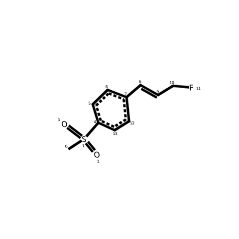 CS(=O)(=O)c1ccc(C=CCF)cc1